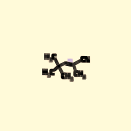 C/C(C#N)=C\C(C)(C)C